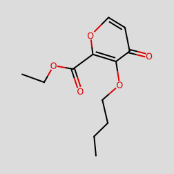 CCCCOc1c(C(=O)OCC)occc1=O